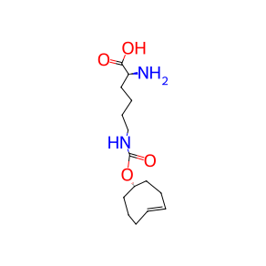 N[C@@H](CCCCNC(=O)O[C@@H]1CC/C=C/CCC1)C(=O)O